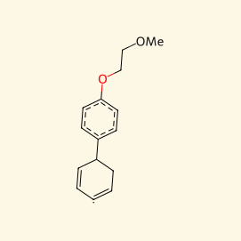 COCCOc1ccc(C2C=C[C]=CC2)cc1